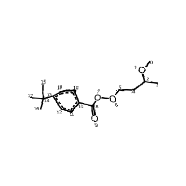 COC(C)C[CH]OOC(=O)c1ccc(C(C)(C)C)cc1